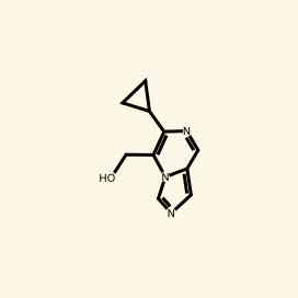 OCc1c(C2CC2)ncc2cncn12